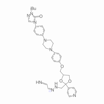 CCC(C)n1ncn(-c2ccc(N3CCN(c4ccc(OCC5COC(CN/N=C\C=N)(c6ccncc6)O5)cc4)CC3)cc2)c1=O